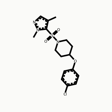 Cc1cnn(C)c1S(=O)(=O)N1CCC(Oc2ccc(Cl)cc2)CC1